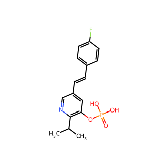 CC(C)c1ncc(C=Cc2ccc(F)cc2)cc1OP(=O)(O)O